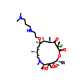 CC[C@H]1OC(=O)[C@@](C)(F)C(=O)[C@H](C)[C@@H](C)[C@](C)(OCCNCCCN(C)C)C[C@@H](C)CN(C)[C@H](C)C(C)(O)[C@]1(C)O